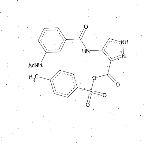 CC(=O)Nc1cccc(C(=O)Nc2c[nH]nc2C(=O)OS(=O)(=O)c2ccc(C)cc2)c1